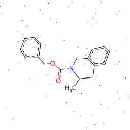 CC1Cc2ccccc2CN1C(=O)OCc1ccccc1